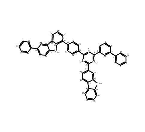 c1ccc(-c2cccc(-c3nc(-c4ccc(-c5cccc6c5oc5ccc(-c7ccccc7)cc56)cc4)nc(-c4ccc5c(c4)sc4ccccc45)n3)c2)cc1